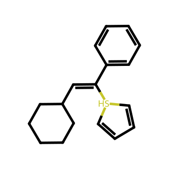 C1=C[SH](C(=CC2CCCCC2)c2ccccc2)C=C1